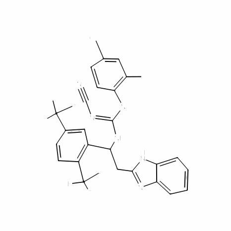 N#CN=C(Nc1ccc(Cl)cc1Cl)NC(Cc1nc2ccccc2[nH]1)c1cc(C(F)(F)F)ccc1C(F)(F)F